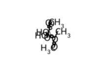 CCCCCC(OCc1ccc(OC)cc1)c1ccc([C@H]2C(=O)C(O)C(O)[C@@H]2CCCc2ccc(C(=O)OC)s2)cc1